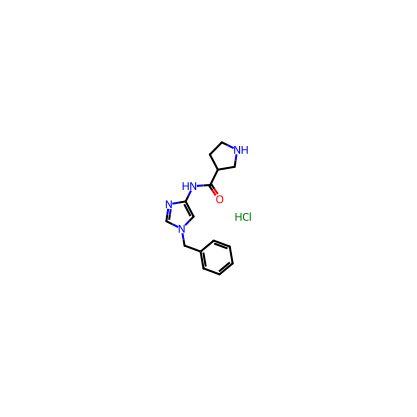 Cl.O=C(Nc1cn(Cc2ccccc2)cn1)C1CCNC1